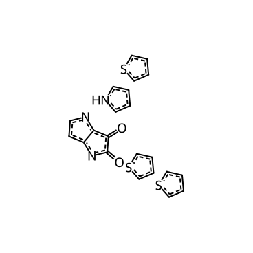 O=c1nc2ccnc-2c1=O.c1cc[nH]c1.c1ccsc1.c1ccsc1.c1ccsc1